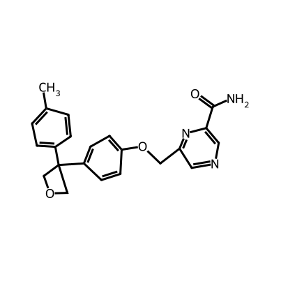 Cc1ccc(C2(c3ccc(OCc4cncc(C(N)=O)n4)cc3)COC2)cc1